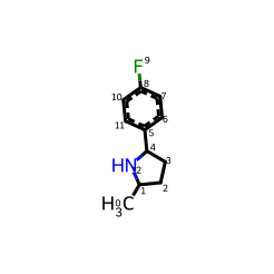 CC1CCC(c2ccc(F)cc2)N1